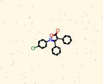 O=c1on(-c2ccc(Cl)cc2)c(-c2ccccc2)c1-c1ccccc1